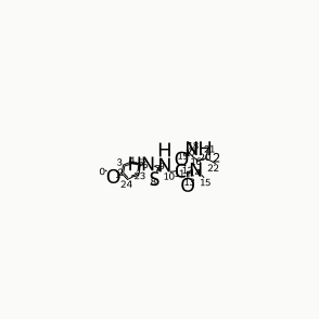 COc1ccc(NC(=S)NCCC(=O)N(C)C(C(N)=O)C(C)C)cc1